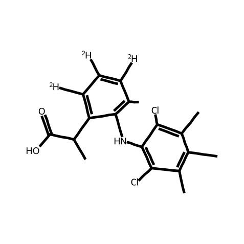 [2H]c1c([2H])c(C)c(Nc2c(Cl)c(C)c(C)c(C)c2Cl)c(C(C)C(=O)O)c1[2H]